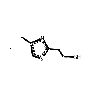 Cc1csc(CCS)n1